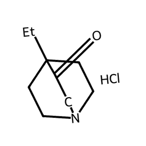 CCC12CCN(CC1)CC2=O.Cl